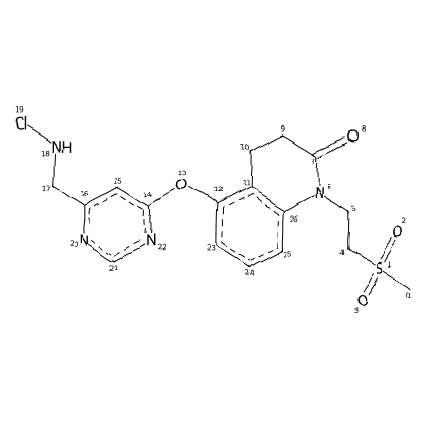 CS(=O)(=O)CCN1C(=O)CCc2c(Oc3cc(CNCl)ncn3)cccc21